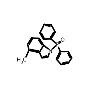 Cc1cccc2c1ccn2P(=O)(c1ccccc1)c1ccccc1